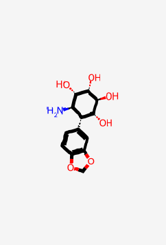 N[C@H]1[C@H](O)[C@H](O)[C@@H](O)[C@H](O)[C@@H]1c1ccc2c(c1)OCO2